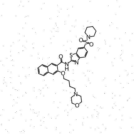 O=C(Nc1nc2ccc(S(=O)(=O)N3CCCCC3)cc2s1)c1cc2ccccc2cc1OCCCCN1CCOCC1